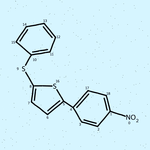 O=[N+]([O-])c1ccc(-c2ccc(Sc3ccccc3)s2)cc1